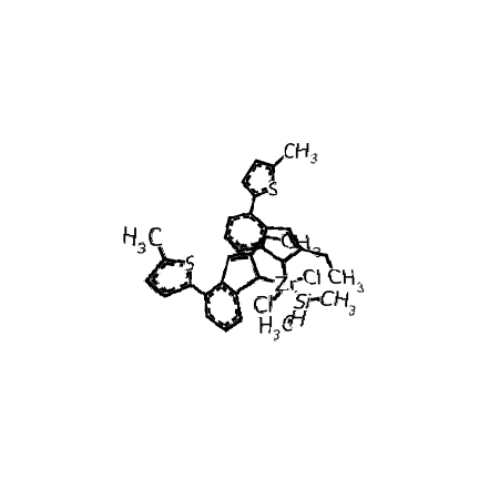 CCC1=Cc2c(-c3ccc(C)s3)cccc2[CH]1[Zr]([Cl])([Cl])([CH]1C(CC)=Cc2c(-c3ccc(C)s3)cccc21)[SiH](C)C